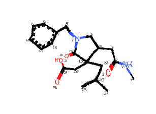 CNC(=O)CC1CN(Cc2ccccc2)C(=O)C1(CC(=O)O)CC(C)C